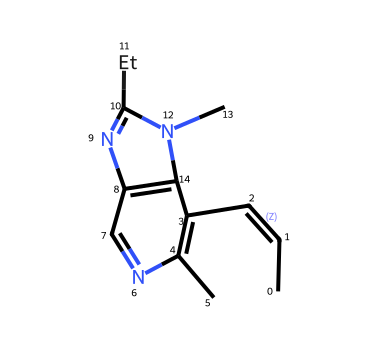 C/C=C\c1c(C)ncc2nc(CC)n(C)c12